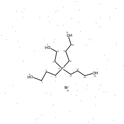 OCCC[P+](CCO)(CCCO)CCCO.[Br-]